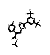 Cc1cc(/C(=C\n2cnc(-c3cc(C(F)(F)F)nc(C(F)(F)F)c3)n2)C(=O)OC(C)C)ccn1